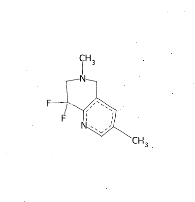 Cc1cnc2c(c1)CN(C)CC2(F)F